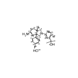 CC(C)(O)c1nc(N2C[C@H]3CSC(N)=N[C@@]3(c3ccc(F)cn3)C2)ncc1F.Cl